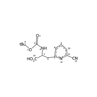 CC(C)(C)OC(=O)NC(Cc1cccc(C#N)n1)C(=O)O